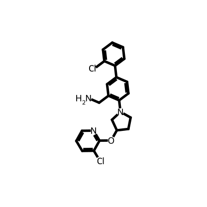 NCc1cc(-c2ccccc2Cl)ccc1N1CCC(Oc2ncccc2Cl)C1